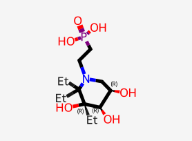 CCC1(CC)N(CCP(=O)(O)O)C[C@@H](O)[C@@H](O)[C@@]1(O)CC